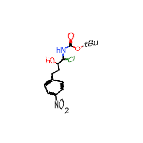 CC(C)(C)OC(=O)NC(Cl)C(O)CCc1ccc([N+](=O)[O-])cc1